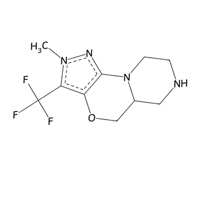 Cn1nc2c(c1C(F)(F)F)OCC1CNCCN21